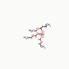 C=CCC(OCC)O[SiH](OCOCC)OCOCC